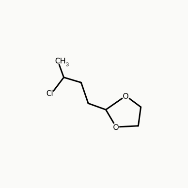 CC(Cl)CCC1OCCO1